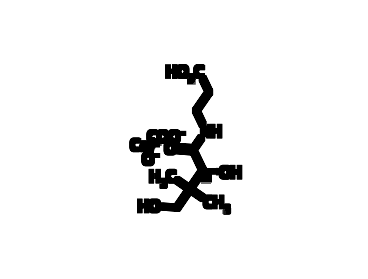 CC(C)(CO)[C@@H](O)C(=O)NCCC(=O)O.O=C([O-])[O-].[Ca+2]